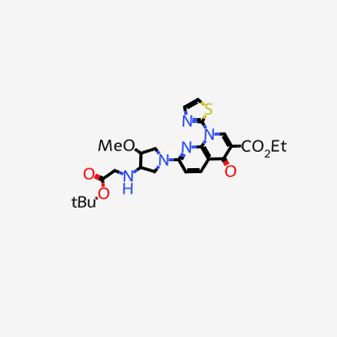 CCOC(=O)c1cn(-c2nccs2)c2nc(N3CC(NCC(=O)OC(C)(C)C)C(OC)C3)ccc2c1=O